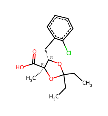 CCC1(CC)O[C@@H](Cc2ccccc2Cl)[C@](C)(C(=O)O)O1